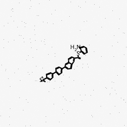 C=C(Sc1ccccc1N)c1ccc2cc(-c3ccc(-c4ccc([Si](C)(C)C)cc4)cc3)ccc2c1